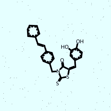 O=C1/C(=C\c2ccc(O)c(O)c2)SC(=S)N1Cc1ccc(/C=C/c2ccccc2)cc1